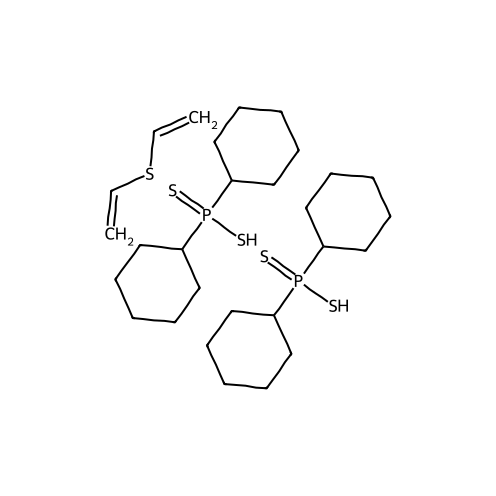 C=CSC=C.S=P(S)(C1CCCCC1)C1CCCCC1.S=P(S)(C1CCCCC1)C1CCCCC1